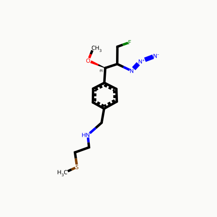 CO[C@H](c1ccc(CNCCSC)cc1)C(CF)N=[N+]=[N-]